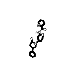 O=C(Nc1cc(N2CC(c3ccccc3)CC2=O)ccn1)c1ccccn1